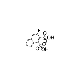 O=S(=O)(O)c1c(F)cc2ccccc2c1S(=O)(=O)O